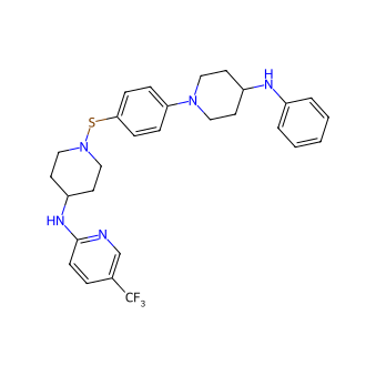 FC(F)(F)c1ccc(NC2CCN(Sc3ccc(N4CCC(Nc5ccccc5)CC4)cc3)CC2)nc1